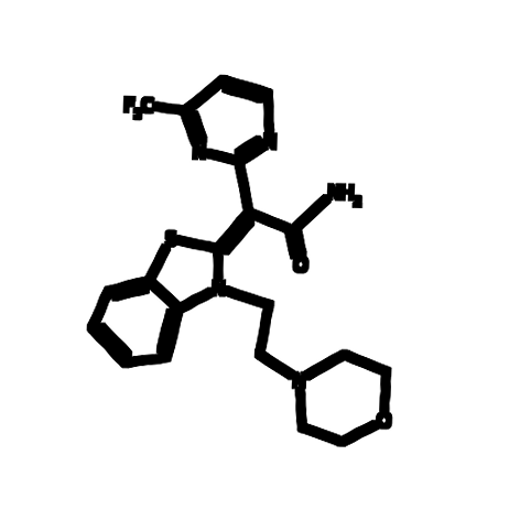 NC(=O)C(=C1Sc2ccccc2N1CCN1CCOCC1)c1nccc(C(F)(F)F)n1